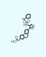 CC(OC(=O)Nc1cnoc1-c1ccc2c(c1)CCc1cc(CC(=O)O)ccc1-2)c1ccccc1